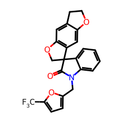 O=C1N(Cc2ccc(C(F)(F)F)o2)c2ccccc2C12COc1cc3c(cc12)OCC3